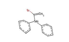 C=C(Br)[SiH](c1ccccc1)c1ccccc1